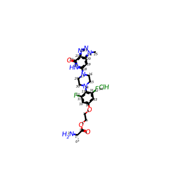 C[C@H](N)C(=O)OCCOc1cc(F)c(N2CCN(c3cc4c(nnn4C)c(=O)[nH]3)CC2)c(F)c1.Cl